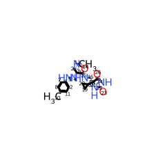 C/N=C\C(=N/Nc1ccc(C)cc1)C(=O)NC[C@@]1(C2CC2)NC(=O)NC1=O